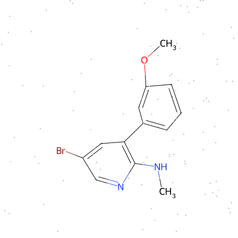 CNc1ncc(Br)cc1-c1cccc(OC)c1